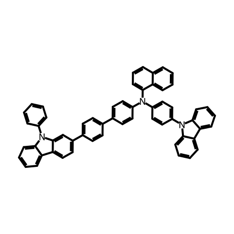 c1ccc(-n2c3ccccc3c3ccc(-c4ccc(-c5ccc(N(c6ccc(-n7c8ccccc8c8ccccc87)cc6)c6cccc7ccccc67)cc5)cc4)cc32)cc1